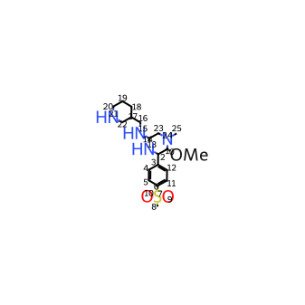 COC1C(c2ccc(S(C)(=O)=O)cc2)NC(NCC2CCCNC2)CN1C